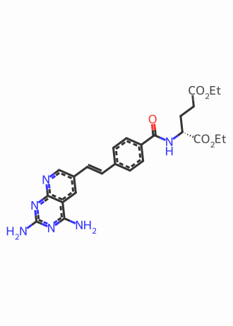 CCOC(=O)CC[C@@H](NC(=O)c1ccc(C=Cc2cnc3nc(N)nc(N)c3c2)cc1)C(=O)OCC